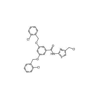 O=C(Nc1nc(CCl)cs1)c1cc(OCc2ccccc2Cl)cc(OCc2ccccc2Cl)c1